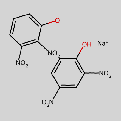 O=[N+]([O-])c1ccc(O)c([N+](=O)[O-])c1.O=[N+]([O-])c1cccc([O-])c1[N+](=O)[O-].[Na+]